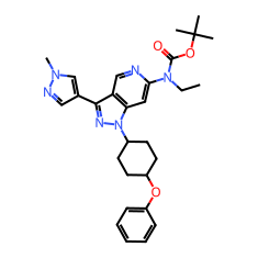 CCN(C(=O)OC(C)(C)C)c1cc2c(cn1)c(-c1cnn(C)c1)nn2C1CCC(Oc2ccccc2)CC1